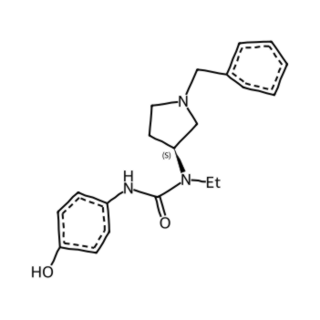 CCN(C(=O)Nc1ccc(O)cc1)[C@H]1CCN(Cc2ccccc2)C1